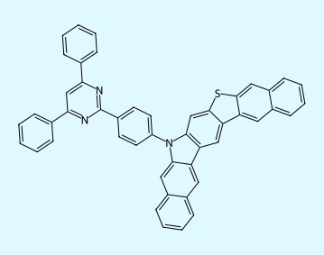 c1ccc(-c2cc(-c3ccccc3)nc(-c3ccc(-n4c5cc6ccccc6cc5c5cc6c(cc54)sc4cc5ccccc5cc46)cc3)n2)cc1